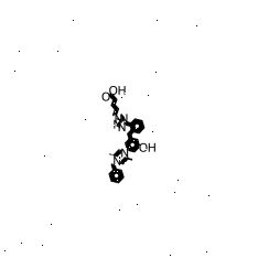 C[C@@H]1CN(c2cc(O)cc(Cc3ccccc3-c3nnn(CCCCC(=O)O)n3)c2)[C@@H](C)CN1Cc1ccccc1